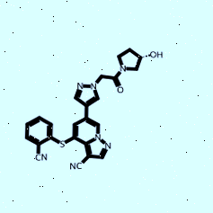 N#Cc1ccccc1Sc1cc(-c2cnn(CC(=O)N3CC[C@H](O)C3)c2)cn2ncc(C#N)c12